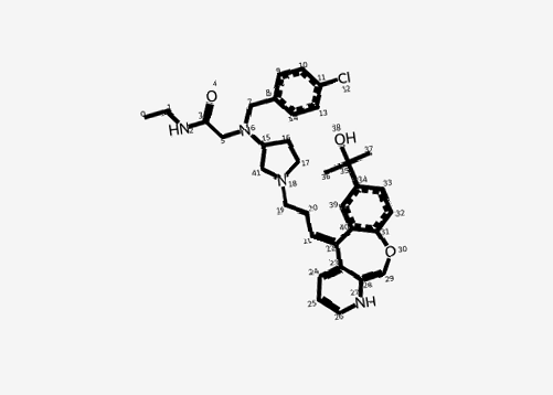 CCNC(=O)CN(Cc1ccc(Cl)cc1)C1CCN(CCC=C2C3=CC=CNC3=COc3ccc(C(C)(C)O)cc32)C1